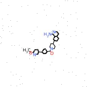 COc1ccc(-c2ccc(C(=O)N3CCC(c4ccc5ccnc(N)c5c4)CC3)cc2)cn1